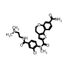 CN(C)CCNC(=O)c1ccc(N(C)C(=O)c2cc3c(s2)-c2ccc(C(N)=O)cc2OCC3)c(Cl)c1